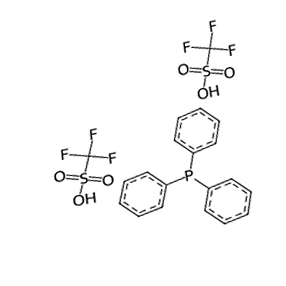 O=S(=O)(O)C(F)(F)F.O=S(=O)(O)C(F)(F)F.c1ccc(P(c2ccccc2)c2ccccc2)cc1